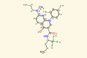 CCCC(NC(=O)c1cn(-c2ccc(F)cc2F)c2nc(N(C)CCF)ccc2c1=O)C(F)(F)F